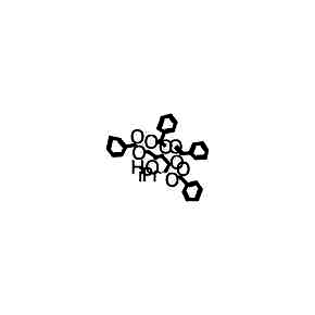 CC(C)[C@@H](OC(=O)c1ccccc1)C(OC(=O)c1ccccc1)[C@H](OC(=O)c1ccccc1)C(O)COC(=O)c1ccccc1